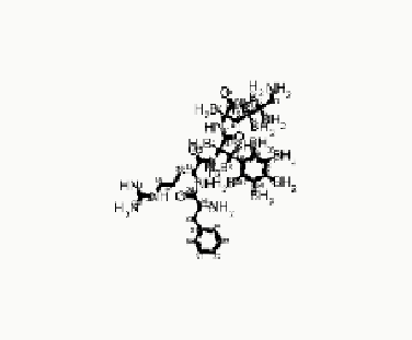 Bc1c(B)c(B)c(C(B)(B)[C@](B)(NC(=O)[C@@H](CCCNC(=N)N)NC(=O)[C@@H](N)Cc2ccccc2)C(=O)N[C@@](B)(CC(B)(B)C(B)(B)CN)C(N)=O)c(B)c1B